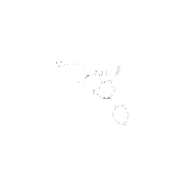 C#Cc1cc(-c2ccccc2)cnc1NC(=O)CSC